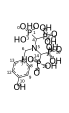 O=P(O)(O)C(N(Cc1ccc(O)cc1)C(P(=O)(O)O)P(=O)(O)O)P(=O)(O)O